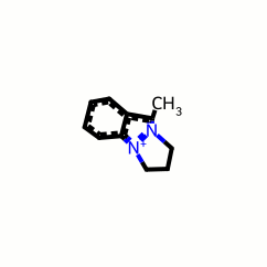 Cc1c2ccccc2[n+]2n1CCC2